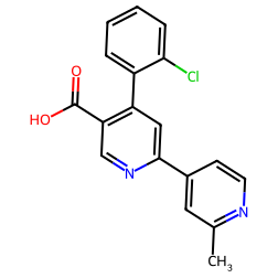 Cc1cc(-c2cc(-c3ccccc3Cl)c(C(=O)O)cn2)ccn1